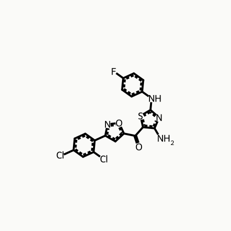 Nc1nc(Nc2ccc(F)cc2)sc1C(=O)c1cc(-c2ccc(Cl)cc2Cl)no1